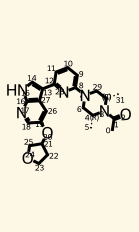 CC(=O)N1[C@H](C)CN(c2cccc(-c3c[nH]c4ncc(OC5CCOC5)cc34)n2)C[C@@H]1C